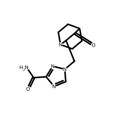 NC(=O)c1ncn(CC2C(=O)C3CCN2CC3)n1